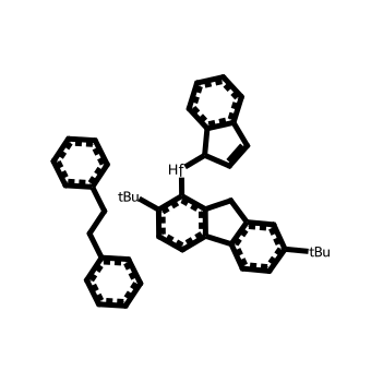 CC(C)(C)c1ccc2c(c1)Cc1c-2ccc(C(C)(C)C)[c]1[Hf][CH]1C=Cc2ccccc21.c1ccc(CCc2ccccc2)cc1